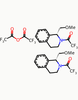 COC[C@H]1c2ccccc2CCN1C(=O)C(F)(F)F.COC[C@H]1c2ccccc2CCN1C(=O)C(F)(F)F.O=C(OC(=O)C(F)(F)F)C(F)(F)F